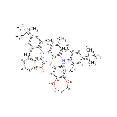 Cc1cc2c3c(c1)N(c1c(C)cc(C(C)(C)C)cc1C)c1c(oc4ccccc14)B3c1cc3c(cc1N2c1c(C)cc(C(C)(C)C)cc1C)OCCCO3